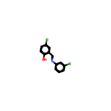 Oc1ccc(Cl)cc1C=Nc1cccc(Cl)c1